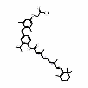 CC1=C(/C=C/C(C)=C/C=C/C(C)=C/C(=O)Oc2ccc(Cc3c(C)cc(OCC(=O)O)cc3C)cc2C(C)C)C(C)(C)CCC1